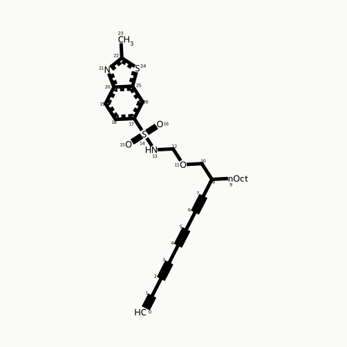 C#CC#CC#CC#CC(CCCCCCCC)COCNS(=O)(=O)c1ccc2nc(C)sc2c1